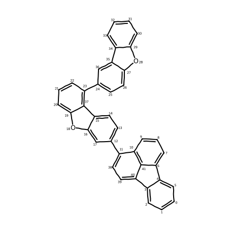 c1ccc2c(c1)-c1cccc3c(-c4ccc5c(c4)oc4cccc(-c6ccc7oc8ccccc8c7c6)c45)ccc-2c13